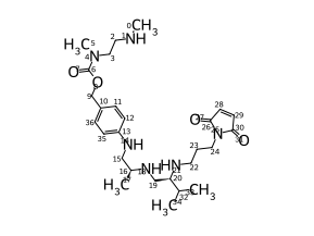 CNCCN(C)C(=O)OCc1ccc(NC[C@H](C)NC[C@@H](NCCCN2C(=O)C=CC2=O)C(C)C)cc1